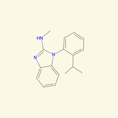 CNc1nc2ccccc2n1-c1ccccc1C(C)C